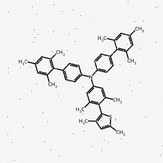 Cc1cc(C)c(-c2ccc(N(c3ccc(-c4c(C)cc(C)cc4C)cc3)c3cc(C)c(-c4sc(C)cc4C)c(C)c3)cc2)c(C)c1